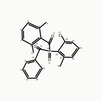 Cc1cccc(C)c1C(=O)P(=O)(C(=O)c1ccccc1)c1c(C)cccc1Cl